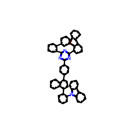 c1ccc(-c2ccccc2-c2nc(-c3ccc(-c4ccc(-c5ccccc5-n5c6ccccc6c6ccccc65)c5ccccc45)cc3)nc(-c3cccc4c3sc3ccccc34)n2)cc1